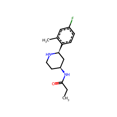 CCC(=O)N[C@H]1CCN[C@@H](c2ccc(F)cc2C)C1